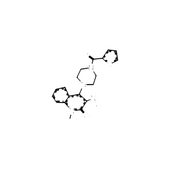 Cn1c(=O)c(N=O)c(N2CCN(C(=O)c3cccs3)CC2)c2ccccc21